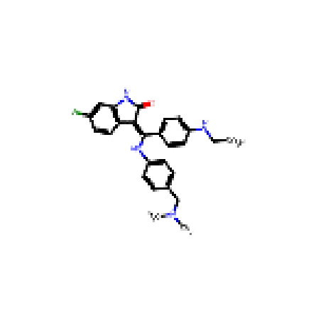 CN(C)Cc1ccc(NC(=C2C(=O)Nc3cc(F)ccc32)c2ccc(NCC(=O)O)cc2)cc1